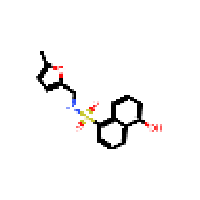 Cc1ccc(CNS(=O)(=O)c2cccc3c(O)cccc23)o1